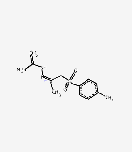 C=C(N)N/N=C(/C)CS(=O)(=O)c1ccc(C)cc1